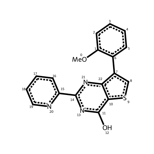 COc1ccccc1-c1csc2c(O)nc(-c3ccccn3)nc12